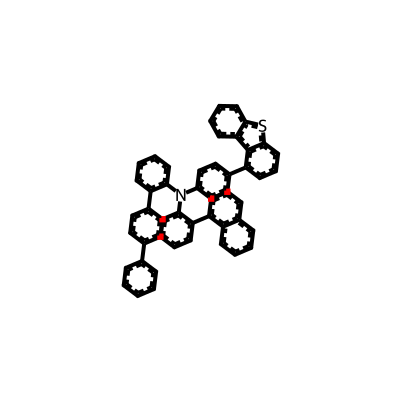 c1ccc(-c2ccc(-c3ccccc3N(c3ccc(-c4cccc5sc6ccccc6c45)cc3)c3ccccc3-c3cccc4ccccc34)cc2)cc1